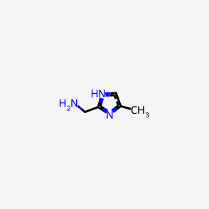 Cc1c[nH]c(CN)n1